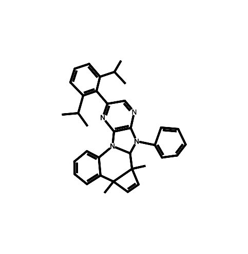 CC(C)c1cccc(C(C)C)c1-c1cnc2c(n1)N1c3ccccc3C3(C)C=CC3(C)C1N2c1ccccc1